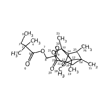 CCC(C)(C)C(=O)OCC(=O)OC1(C)C2(C)CC3(C)C(=O)OC1(C)C3C2C